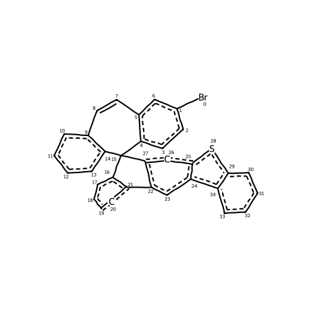 Brc1ccc2c(c1)C=Cc1ccccc1C21c2ccccc2-c2cc3c(cc21)sc1ccccc13